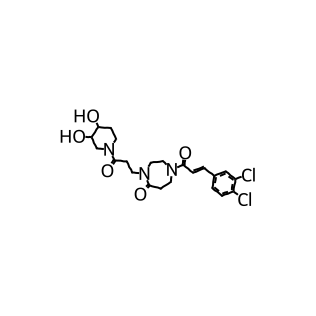 O=C(C=Cc1ccc(Cl)c(Cl)c1)N1CCC(=O)N(CCC(=O)N2CCC(O)C(O)C2)CC1